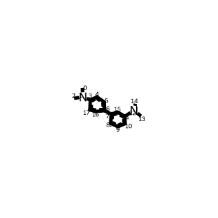 CN(C)c1ccc(-c2[c]ccc(N(C)C)c2)cc1